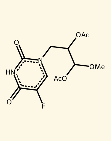 COC(OC(C)=O)C(Cn1cc(F)c(=O)[nH]c1=O)OC(C)=O